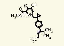 C=C/C=C(/c1ccc(C2(Cn3cc(O)c(=O)c(C(=O)NC)n3)CC2)cc1)N(C)C